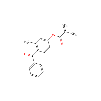 C=C(C)C(=O)Oc1ccc(C(=O)c2ccccc2)c(C)c1